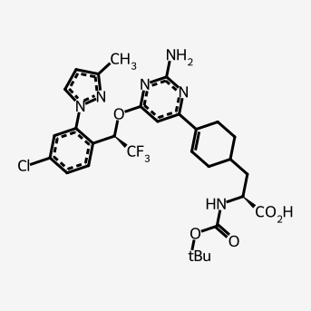 Cc1ccn(-c2cc(Cl)ccc2[C@@H](Oc2cc(C3=CCC(C[C@H](NC(=O)OC(C)(C)C)C(=O)O)CC3)nc(N)n2)C(F)(F)F)n1